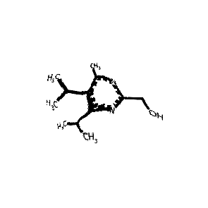 Cc1nc(CO)nc(C(C)C)c1C(C)C